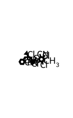 Cc1c(Cl)c(Cl)c(Sc2ncnn2CC(O)(Cc2ccccc2Cl)C2(Cl)CC2)c(C#N)c1Cl